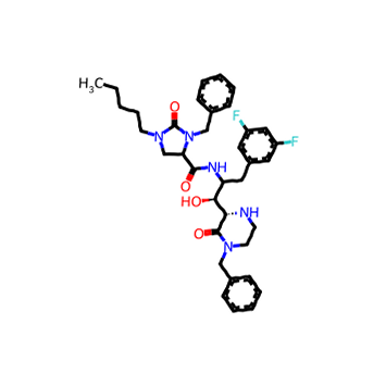 CCCCCN1CC(C(=O)NC(Cc2cc(F)cc(F)c2)[C@H](O)[C@@H]2NCCN(Cc3ccccc3)C2=O)N(Cc2ccccc2)C1=O